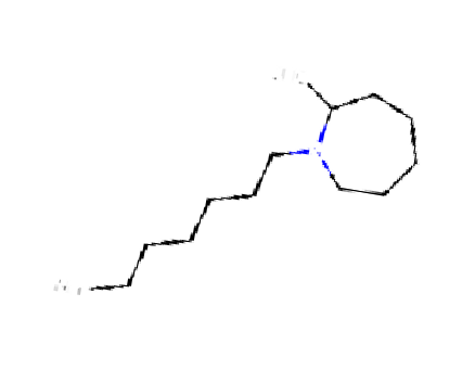 CCCCCCCCCCCCCCCN1CCCCCC1C=O